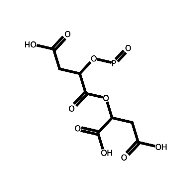 O=POC(CC(=O)O)C(=O)OC(CC(=O)O)C(=O)O